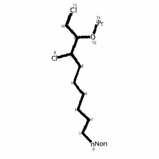 CCCCCCCCCCCCCCCC(Cl)C(CCl)OC(C)C